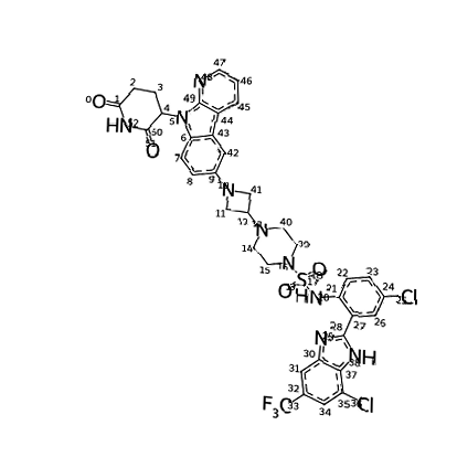 O=C1CCC(n2c3ccc(N4CC(N5CCN(S(=O)(=O)Nc6ccc(Cl)cc6-c6nc7cc(C(F)(F)F)cc(Cl)c7[nH]6)CC5)C4)cc3c3cccnc32)C(=O)N1